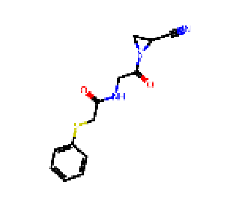 N#CC1CN1C(=O)CNC(=O)CSc1ccccc1